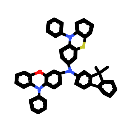 CC1(C)c2ccccc2-c2ccc(N(c3ccc4c(c3)Oc3ccccc3N4c3ccccc3)c3ccc4c(c3)Sc3ccccc3N4c3ccccc3)cc21